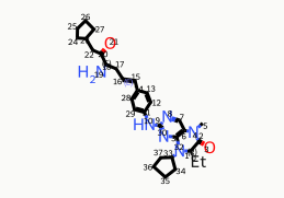 CC[C@@H]1C(=O)N(C)c2cnc(Nc3ccc(/C=C/C[C@H](N)C(=O)CC4CCCC4)cc3)nc2N1C1CCCC1